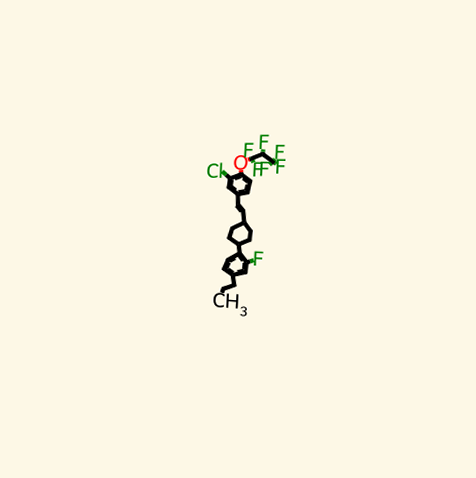 CCCc1ccc(C2CCC(/C=C/c3ccc(OC(F)(F)C(F)C(F)(F)F)c(Cl)c3)CC2)c(F)c1